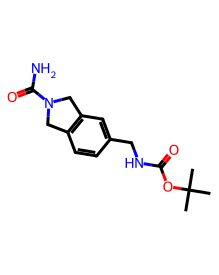 CC(C)(C)OC(=O)NCc1ccc2c(c1)CN(C(N)=O)C2